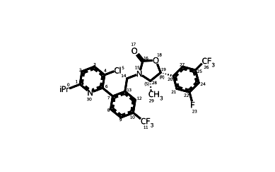 CC(C)c1ccc(Cl)c(-c2ccc(C(F)(F)F)cc2CN2C(=O)O[C@H](c3cc(F)cc(C(F)(F)F)c3)[C@@H]2C)n1